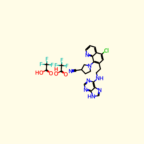 N#CC1CCN(c2c(CCNc3ncnc4[nH]cnc34)cc(Cl)c3cccnc23)C1.O=C(O)C(F)(F)F.O=C(O)C(F)(F)F